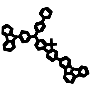 CC1(C)c2cc(-c3ccc4c(c3)c3cccc5c6ccccc6n4c53)ccc2-c2ccc(N(c3ccc(-c4ccccc4)cc3)c3ccc(-n4c5ccccc5c5ccccc54)cc3)cc21